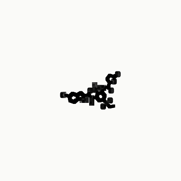 CCS(=O)(=O)c1cc(NC(=O)c2cc3cc(Cl)ccc3[nH]2)c(O)c(NC(=O)C2CCC(=O)O2)c1